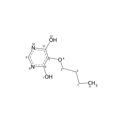 CCCCOc1c(O)ncnc1O